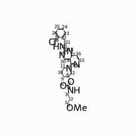 COCCCNC(=O)OC1CCCN(c2nccc3nc(NCc4ccccc4Cl)ncc23)C1